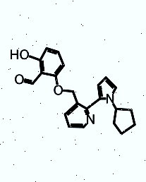 O=Cc1c(O)cccc1OCc1cccnc1-c1cccn1C1CCCC1